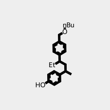 CCCCOCc1ccc(C(CC)CC(C)c2ccc(O)cc2)cc1